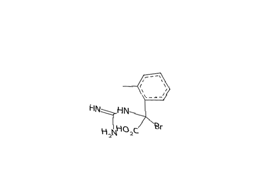 Cc1ccccc1C(Br)(NC(=N)N)C(=O)O